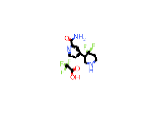 NC(=O)c1cc(C2CNCCC2(F)F)ccn1.O=C(O)C(F)(F)F